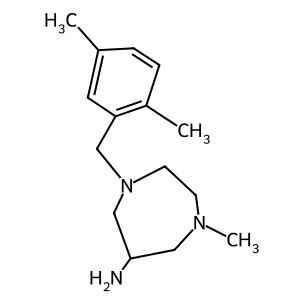 Cc1ccc(C)c(CN2CCN(C)CC(N)C2)c1